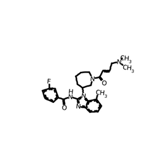 Cc1cccc2nc(NC(=O)c3cccc(F)c3)n(C3CCCCN(C(=O)C=CCN(C)C)C3)c12